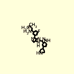 CN(C)CC(N)c1cc(F)cc(-c2nccc3[nH]c(-c4n[nH]c5ccc(C6CCNCC6)cc45)nc23)c1